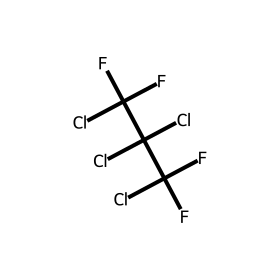 FC(F)(Cl)C(Cl)(Cl)C(F)(F)Cl